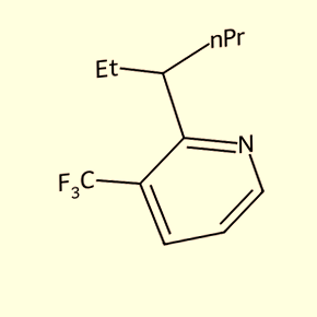 CCCC(CC)c1ncccc1C(F)(F)F